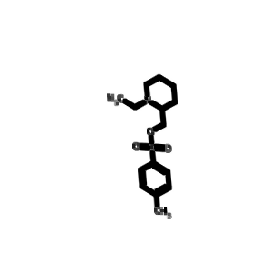 CCN1CCCCC1COS(=O)(=O)c1ccc(C)cc1